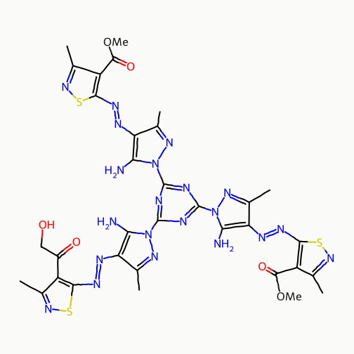 COC(=O)c1c(C)nsc1/N=N/c1c(C)nn(-c2nc(-n3nc(C)c(/N=N/c4snc(C)c4C(=O)CO)c3N)nc(-n3nc(C)c(/N=N/c4snc(C)c4C(=O)OC)c3N)n2)c1N